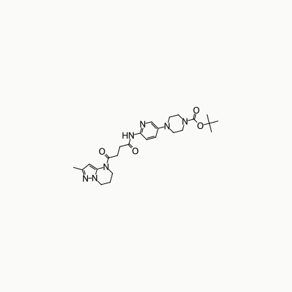 Cc1cc2n(n1)CCCN2C(=O)CCC(=O)Nc1ccc(N2CCN(C(=O)OC(C)(C)C)CC2)cn1